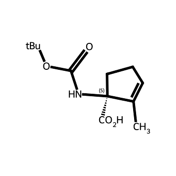 CC1=CCC[C@@]1(NC(=O)OC(C)(C)C)C(=O)O